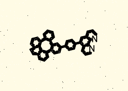 c1cnc2c(c1)cc(-c1ccc(-c3ccc4c(c3)c3ccccc3c3cccc5ccc6cccc4c6c53)cc1)c1cccnc12